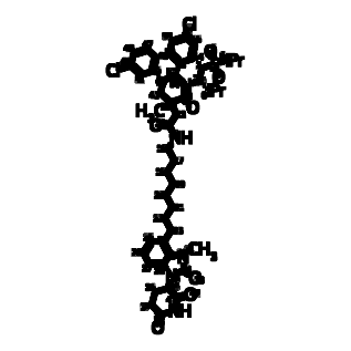 CC(C)[C@@H](CS(=O)(=O)C(C)C)N1C(=O)[C@@](C)(CC(=O)NCCCCCCCCc2cccc3c2n(C)c(=O)n3C2CCC(=O)NC2=O)C[C@H](c2cccc(Cl)c2)[C@H]1c1ccc(Cl)cc1